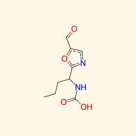 CCCC(NC(=O)O)c1ncc(C=O)o1